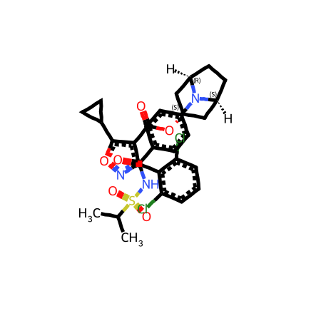 CC(C)S(=O)(=O)NC(=O)c1ccc(N2[C@@H]3CC[C@H]2C[C@H](OC(=O)c2c(-c4c(Cl)cccc4Cl)noc2C2CC2)C3)cc1